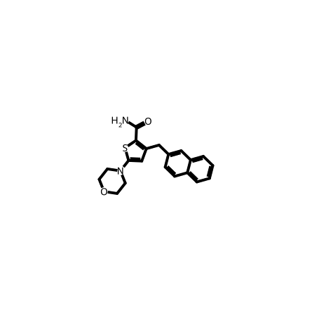 NC(=O)c1sc(N2CCOCC2)cc1Cc1ccc2ccccc2c1